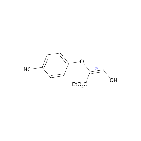 CCOC(=O)/C(=C\O)Oc1ccc(C#N)cc1